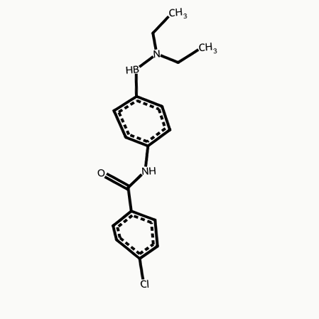 CCN(Bc1ccc(NC(=O)c2ccc(Cl)cc2)cc1)CC